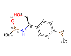 CCSc1ccc([C@H](CO)N[S@+]([O-])C(C)(C)C)cc1